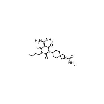 CCCCN1C(=O)C(=C(N)N)C(=O)N(C2CCC3(CC2)CN(C(N)=O)C3)C1=O